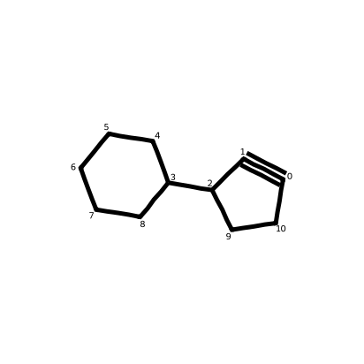 C1#CC(C2CCCCC2)CC1